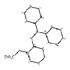 CCOC(=O)CN1CCCCC1CC(C1CCCCC1)C1CCCCC1